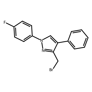 Fc1ccc(-n2cc(-c3ccccc3)c(CBr)n2)cc1